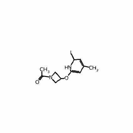 CC(=O)N1CC(OC2=CC(C)=CC(I)N2)C1